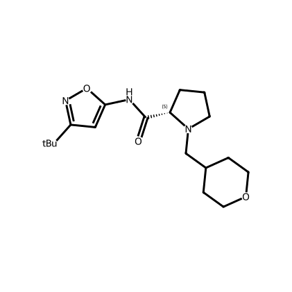 CC(C)(C)c1cc(NC(=O)[C@@H]2CCCN2CC2CCOCC2)on1